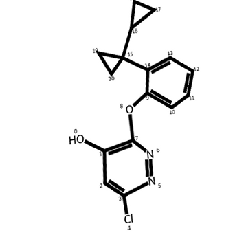 Oc1cc(Cl)nnc1Oc1ccccc1C1(C2CC2)CC1